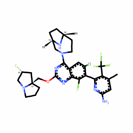 Cc1cc(N)nc(-c2c(Cl)cc3c(N4CC[C@H]5CC[C@@H](C4)N5)nc(OC[C@@]45CCCN4C[C@H](F)C5)nc3c2F)c1C(F)(F)F